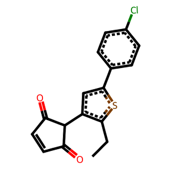 CCc1sc(-c2ccc(Cl)cc2)cc1C1C(=O)C=CC1=O